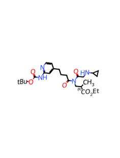 CCOC(=O)[C@H](C)CN(C(=O)CCCc1ccnc(NC(=O)OC(C)(C)C)c1)C(=O)CNC1CC1